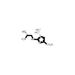 CCCC[C@@H](N)CNc1nc(C(=O)OCC)cs1.Cl.Cl